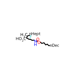 CCCCCCCCCCCCCCCCOC(=O)NCCCCC(C(=O)O)C(C)C(F)CCCCCCC